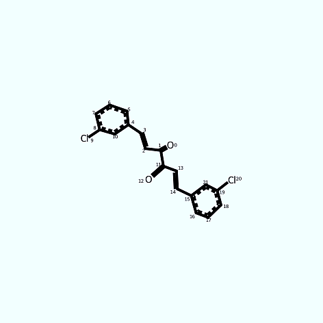 O=C(/C=C/c1cccc(Cl)c1)C(=O)/C=C/c1cccc(Cl)c1